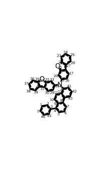 c1ccc(-c2cccc3c2ccc2c(N(c4ccc5c(c4)oc4ccccc45)c4ccc5c(c4)oc4ccccc45)cccc23)cc1